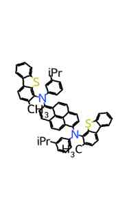 Cc1ccc2c(sc3ccccc32)c1N(c1cccc(C(C)C)c1)c1ccc2ccc3c(N(c4cccc(C(C)C)c4)c4c(C)ccc5c4sc4ccccc45)ccc4ccc1c2c43